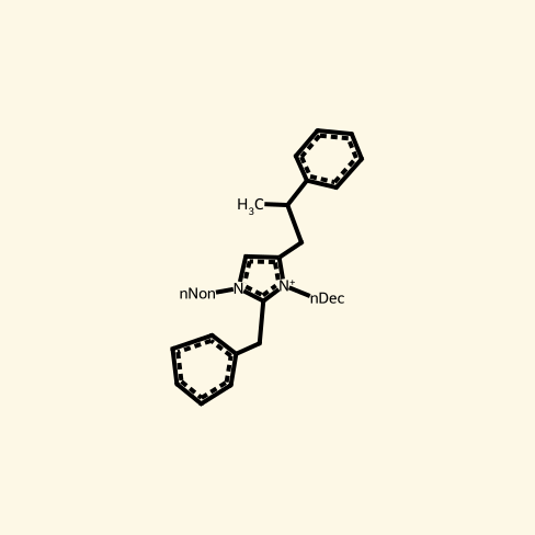 CCCCCCCCCC[n+]1c(CC(C)c2ccccc2)cn(CCCCCCCCC)c1Cc1ccccc1